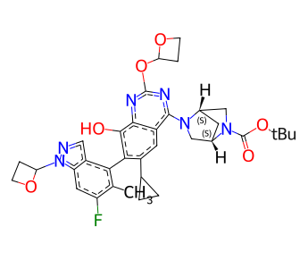 Cc1c(F)cc2c(cnn2C2CCO2)c1-c1c(C2CC2)cc2c(N3C[C@@H]4C[C@H]3CN4C(=O)OC(C)(C)C)nc(OC3CCO3)nc2c1O